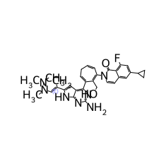 C/C(=C\N(C)N(C)C)c1cc2c(C3=CCC=CC(n4ccc5cc(C6CC6)cc(F)c5c4=O)=C3CO)nc(N)nc2[nH]1